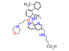 Cc1ccccc1C1=CC=CC(Nc2nccc3cc(CNCCCC(=O)O)cnc23)(OCCCN2CCOCC2)C1C